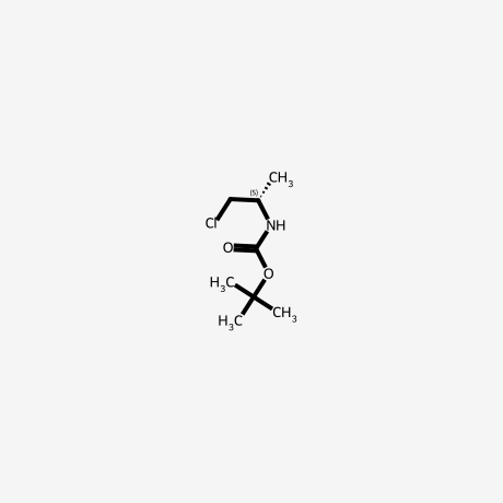 C[C@@H](CCl)NC(=O)OC(C)(C)C